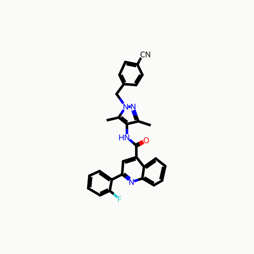 Cc1nn(Cc2ccc(C#N)cc2)c(C)c1NC(=O)c1cc(-c2ccccc2F)nc2ccccc12